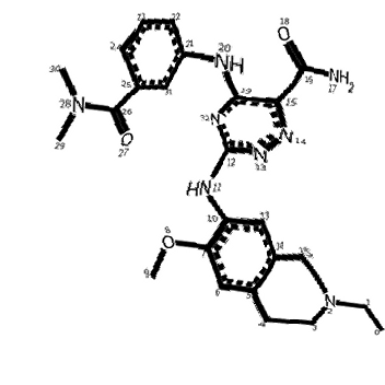 CCN1CCc2cc(OC)c(Nc3nnc(C(N)=O)c(Nc4cccc(C(=O)N(C)C)c4)n3)cc2C1